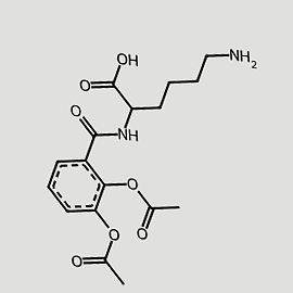 CC(=O)Oc1cccc(C(=O)NC(CCCCN)C(=O)O)c1OC(C)=O